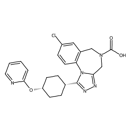 O=C(O)N1Cc2cc(Cl)ccc2-n2c(nnc2[C@H]2CC[C@@H](Oc3ccccn3)CC2)C1